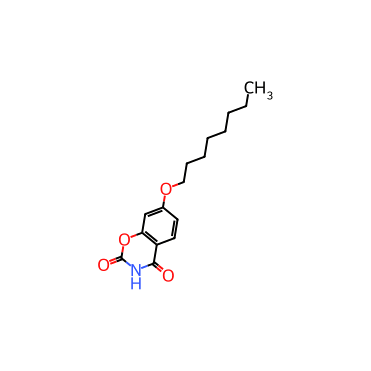 CCCCCCCCOc1ccc2c(=O)[nH]c(=O)oc2c1